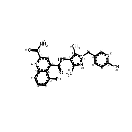 Cc1c(NC(=O)c2cc(C(N)=O)nc3cccc(F)c23)c(C(F)(F)F)nn1Cc1ccc(C#N)nc1